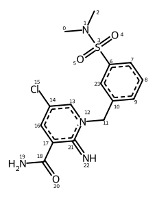 CN(C)S(=O)(=O)c1cccc(Cn2cc(Cl)cc(C(N)=O)c2=N)c1